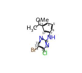 COC(C)c1cccc(Nc2ncc(Br)c(Cl)n2)c1